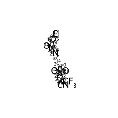 CC1=C(CCCCN2CCN(C(=O)c3ccc(Cl)cc3)CC2)C(=O)N(c2ccc(C#N)c(C(F)(F)F)c2)C1=O